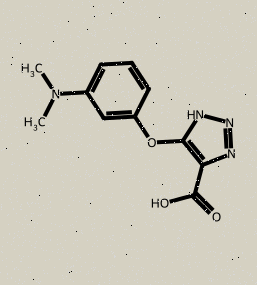 CN(C)c1cccc(Oc2[nH]nnc2C(=O)O)c1